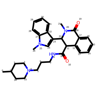 CC1CCN(CCCNC(=O)C2c3ccccc3C(=O)N(C)C2c2cn(C)c3ccccc23)CC1